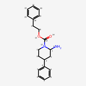 NC1CC(c2ccccc2)CCN1C(=O)OCCc1ccccc1